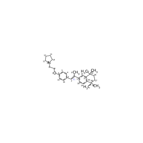 C/C(=C\c1ccc(OCCN2CCCC2)cc1)c1ccc2c(c1)C(C)(C)CCC2(C)C